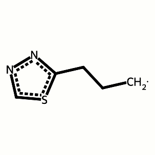 [CH2]CCc1nncs1